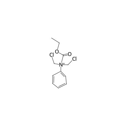 CCOC(=O)[N+](CCl)(CCl)c1ccccc1